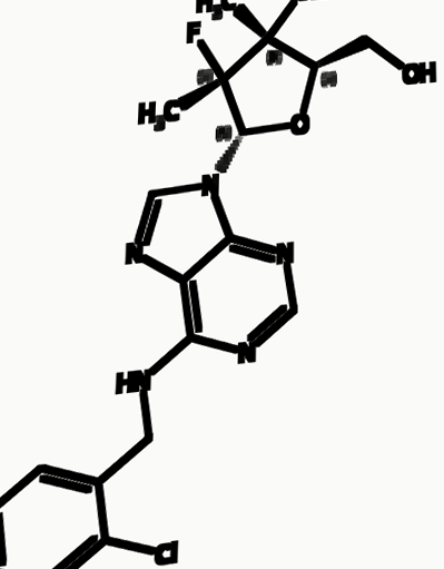 C[C@]1(F)[C@@H](n2cnc3c(NCc4ccccc4Cl)ncnc32)O[C@H](CO)[C@@]1(C)O